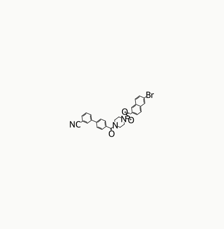 N#Cc1cccc(-c2ccc(C(=O)N3CCN(S(=O)(=O)c4ccc5cc(Br)ccc5c4)CC3)cc2)c1